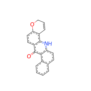 O=c1c2ccc3c(c2[nH]c2ccc4ccccc4c12)C=CCO3